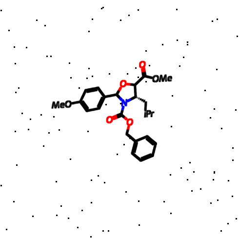 COC(=O)C1OC(c2ccc(OC)cc2)N(C(=O)OCc2ccccc2)[C@H]1CC(C)C